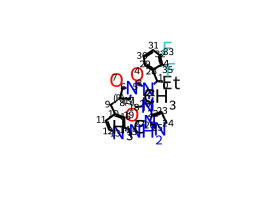 CCC(NC(=O)N1C(=O)[C@H](Cc2ccnc(N)c2)[C@H]1C(=O)N(C)c1ccnn1C)c1cccc(F)c1F